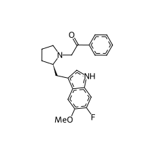 COc1cc2c(C[C@H]3CCCN3CC(=O)c3ccccc3)c[nH]c2cc1F